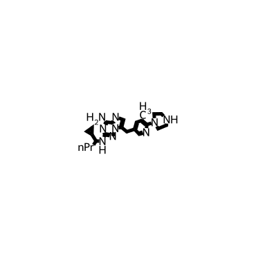 CCCC(Nc1nc(N)c2ncc(Cc3cnc(N4CCNCC4)c(C)c3)n2n1)C1CC1